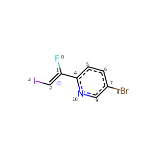 F/C(=C\I)c1ccc(Br)cn1